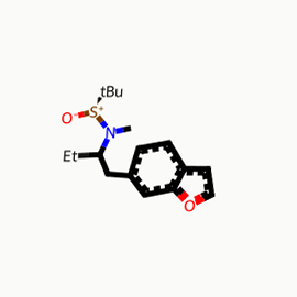 CCC(Cc1ccc2ccoc2c1)N(C)[S@+]([O-])C(C)(C)C